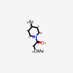 COCC(=O)N1CCC(C(C)=O)CC1